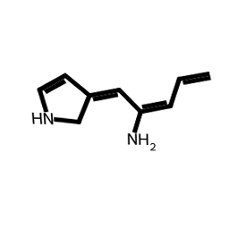 C=C/C=C(N)\C=C1\C=CNC1